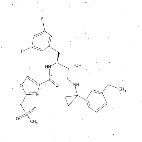 CCc1cccc(C2(NC[C@@H](O)[C@H](Cc3cc(F)cc(F)c3)NC(=O)c3coc(NS(C)(=O)=O)n3)CC2)c1